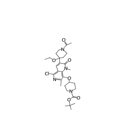 CCOC1(c2cc3c(Cl)nc(C)c(OC4CCN(C(=O)OC(C)(C)C)CC4)c3n(C)c2=O)CCN(C(C)=O)CC1